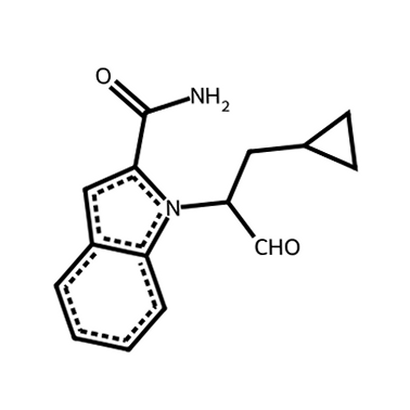 NC(=O)c1cc2ccccc2n1C(C=O)CC1CC1